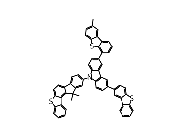 Cc1ccc2sc3c(-c4ccc5c(c4)c4cc(-c6ccc7sc8ccccc8c7c6)ccc4n5-c4ccc5c(c4)C(C)(C)c4c-5ccc5sc6ccccc6c45)cccc3c2c1